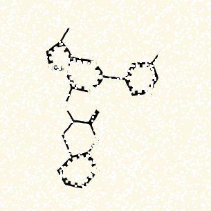 CC(C)c1cnn2c(NC3Cc4cccnc4NC3=O)nc(-c3cncc(F)c3)nc12